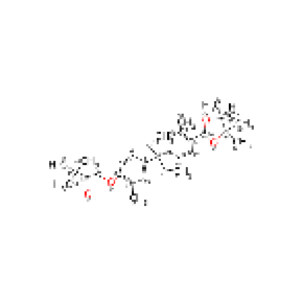 CCC(CC)(c1ccc(OCC(=O)C(C)(C)C)c(C)c1)c1ccc(B2OC(C)(C)C(C)(C)O2)c(C)c1